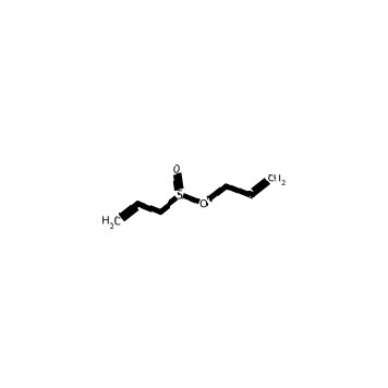 C=CCOS(=O)CC=C